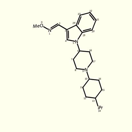 CON=Cc1cn(C2CCN(C3CCC(C(C)C)CC3)CC2)c2ccccc12